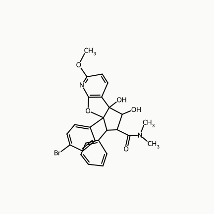 COc1ccc2c(n1)OC1(c3ccc(Br)cc3)C(c3ccccc3)C(C(=O)N(C)C)C(O)C21O